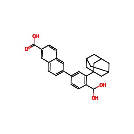 O=C(O)c1ccc2cc(-c3ccc(C(O)O)c(C45CC6CC(CC(C6)C4)C5)c3)ccc2c1